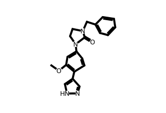 COc1cc(N2CCN(Cc3ccccc3)C2=O)ccc1-c1cn[nH]c1